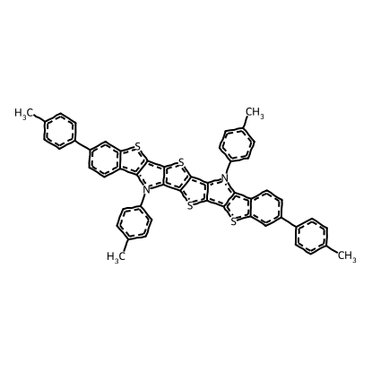 Cc1ccc(-c2ccc3c(c2)sc2c4sc5c(sc6c7sc8cc(-c9ccc(C)cc9)ccc8c7n(-c7ccc(C)cc7)c65)c4n(-c4ccc(C)cc4)c32)cc1